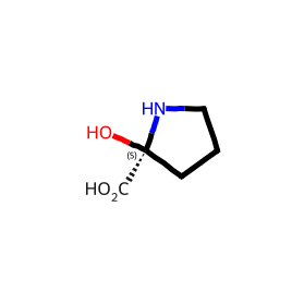 O=C(O)[C@@]1(O)CCCN1